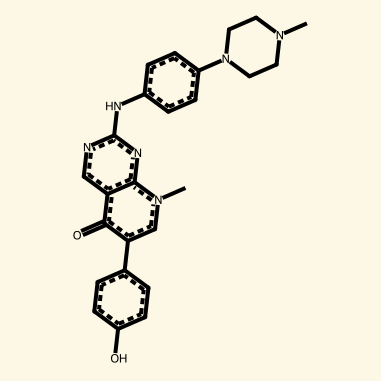 CN1CCN(c2ccc(Nc3ncc4c(=O)c(-c5ccc(O)cc5)cn(C)c4n3)cc2)CC1